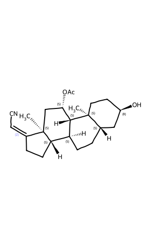 CC(=O)O[C@H]1C[C@]2(C)/C(=C\C#N)CC[C@H]2[C@@H]2CC[C@H]3C[C@H](O)CC[C@]3(C)[C@H]21